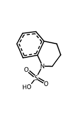 O=S(=O)(O)N1CCCc2ccccc21